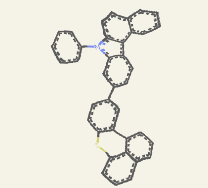 c1ccc(-n2c3cc(-c4ccc5c(c4)-c4cccc6cccc(c46)S5)ccc3c3c4ccccc4ccc32)cc1